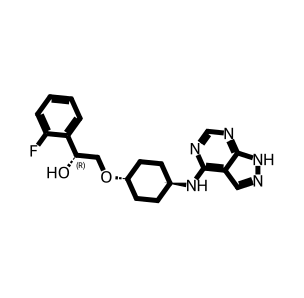 O[C@@H](CO[C@H]1CC[C@H](Nc2ncnc3[nH]ncc23)CC1)c1ccccc1F